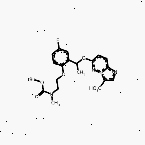 CC(Oc1ccc2ncc(C(=O)O)n2n1)c1cc(F)ccc1OCCN(C)C(=O)OC(C)(C)C